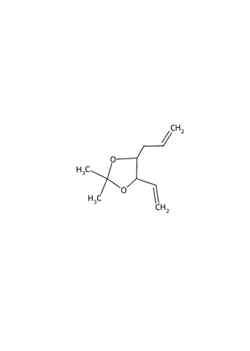 C=CCC1OC(C)(C)OC1C=C